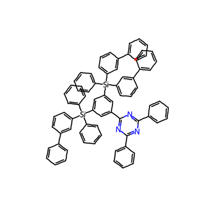 c1ccc(-c2cccc([Si](c3ccccc3)(c3ccccc3)c3cc(-c4nc(-c5ccccc5)nc(-c5ccccc5)n4)cc([Si](c4ccccc4)(c4cccc(-c5ccccc5)c4)c4cccc(-c5ccccc5)c4)c3)c2)cc1